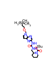 CC(C)(C)OC(=O)N1CCCCC1CNC(=O)Nc1cnc2c(ccn2COCC[Si](C)(C)C)n1